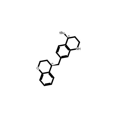 CC(C)(C)[C@H]1CCNc2cc(C[C@@H]3CCOc4ccccc43)ccc21